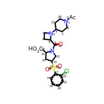 CC(=O)N1CCC(N2CCC2C(=O)N2CC(S(=O)(=O)c3ccccc3Cl)CC2C(=O)O)CC1